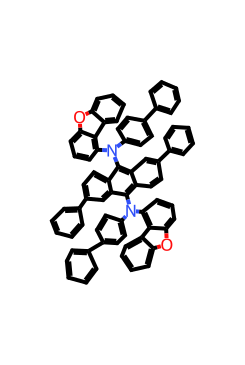 c1ccc(-c2ccc(N(c3c4ccc(-c5ccccc5)cc4c(N(c4ccc(-c5ccccc5)cc4)c4cccc5oc6ccccc6c45)c4ccc(-c5ccccc5)cc34)c3cccc4oc5ccccc5c34)cc2)cc1